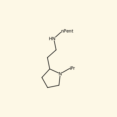 CCCCCNCCC1CCCN1C(C)C